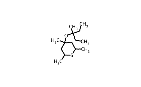 CCC(C)(CC)OC1(C)CC(C)SC(C)C1